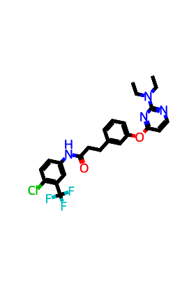 CCN(CC)c1nccc(Oc2cccc(CCC(=O)Nc3ccc(Cl)c(C(F)(F)F)c3)c2)n1